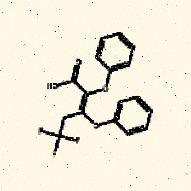 O=C(O)C(Oc1ccccc1)=C(CC(F)(F)F)Oc1ccccc1